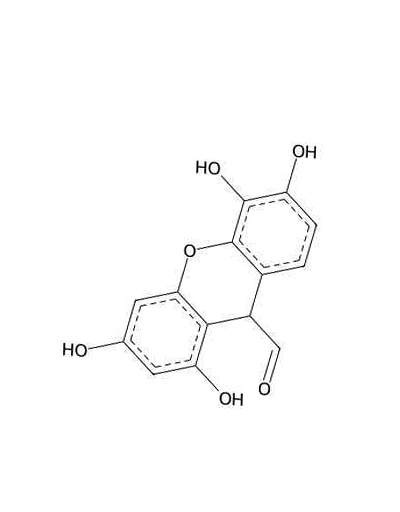 O=CC1c2ccc(O)c(O)c2Oc2cc(O)cc(O)c21